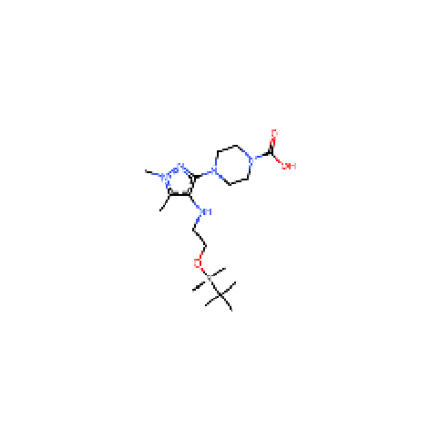 Cc1c(NCCO[Si](C)(C)C(C)(C)C)c(N2CCN(C(=O)O)CC2)nn1C